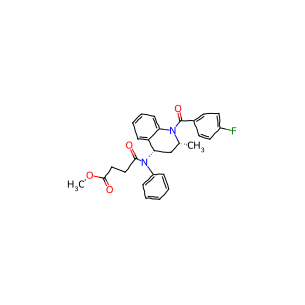 COC(=O)CCC(=O)N(c1ccccc1)[C@H]1C[C@@H](C)N(C(=O)c2ccc(F)cc2)c2ccccc21